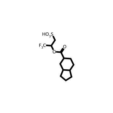 O=C(OC(CS(=O)(=O)O)C(F)(F)F)C1CCC2CCCC2C1